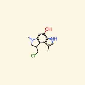 Cc1c[nH]c2c(O)cc3c(c12)C(CCl)CN3C